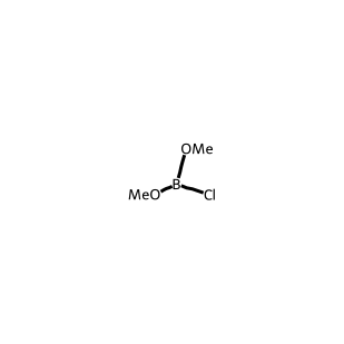 COB(Cl)OC